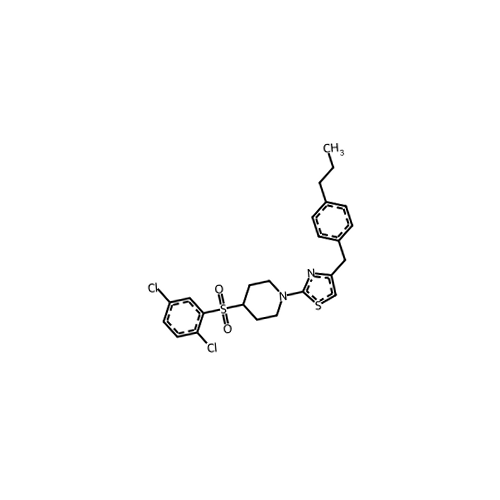 CCCc1ccc(Cc2csc(N3CCC(S(=O)(=O)c4cc(Cl)ccc4Cl)CC3)n2)cc1